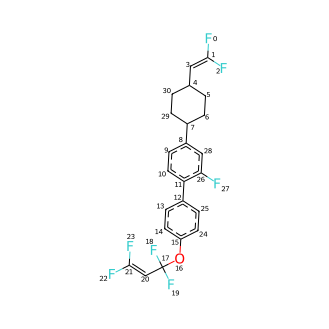 FC(F)=CC1CCC(c2ccc(-c3ccc(OC(F)(F)C=C(F)F)cc3)c(F)c2)CC1